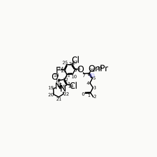 C=C(C)CC/C=C(\COc1cc(-c2c(Cl)n3n(c2=O)CCCC3)c(F)cc1Cl)OCCC